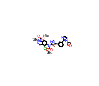 CC(C)(C)OC(=O)N(c1nnc(-c2cccc(-c3nccn3C3COC3)c2)s1)c1ccc2c(c1Cl)C=N[N+]2(C(=O)OC(C)(C)C)C(C)(C)C